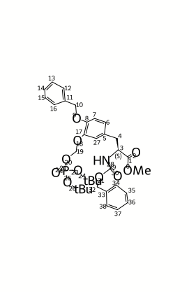 COC(=O)[C@H](Cc1ccc(OCc2ccccc2)c(OCOP(=O)(OC(C)(C)C)OC(C)(C)C)c1)NC(=O)OCc1ccccc1